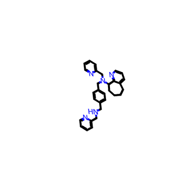 c1ccc(CNCc2ccc(CN(Cc3ccccn3)C3CCCCc4cccnc43)cc2)nc1